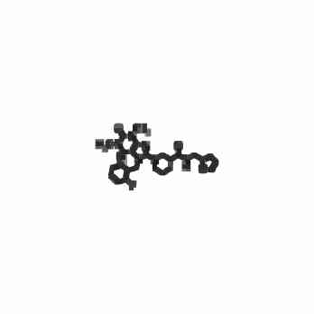 Cn1c(=O)c2c(nc(N3CCCC(C(=O)NCc4ccco4)C3)n2Cc2c(F)cccc2Cl)n(C)c1=O